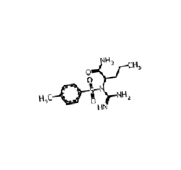 CCCC(C(N)=O)N(C(=N)N)S(=O)(=O)c1ccc(C)cc1